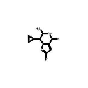 CC1NC(=O)c2cc(Br)nn2C1C1CC1